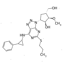 CCCSc1nc(NC2CC2c2ccccc2)c2nnn([C@@H]3C[C@H](CO)[C@@H](OC)[C@H]3O)c2n1